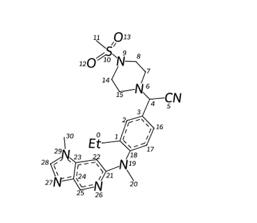 CCc1cc(C(C#N)N2CCN(S(C)(=O)=O)CC2)ccc1N(C)c1cc2c(cn1)ncn2C